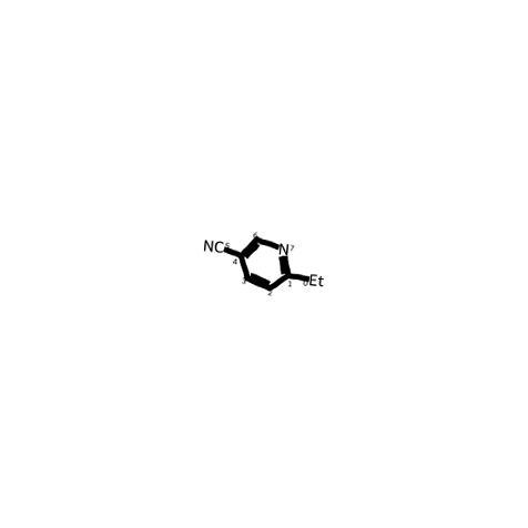 [CH2]Cc1ccc(C#N)cn1